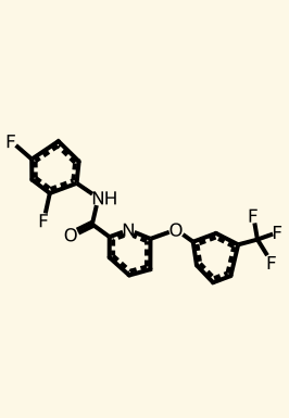 O=C(Nc1ccc(F)cc1F)c1cccc(Oc2cccc(C(F)(F)F)c2)n1